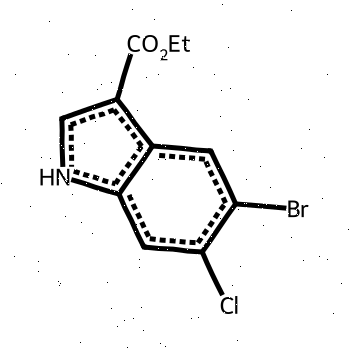 CCOC(=O)c1c[nH]c2cc(Cl)c(Br)cc12